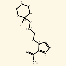 NC(=O)c1n[c]cn1CCNCC1(O)CCOCC1